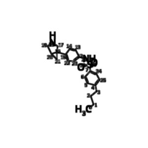 CCCCc1ccc(S(=O)(=O)Nc2ccc(C34CNCC3C4)cc2)cc1